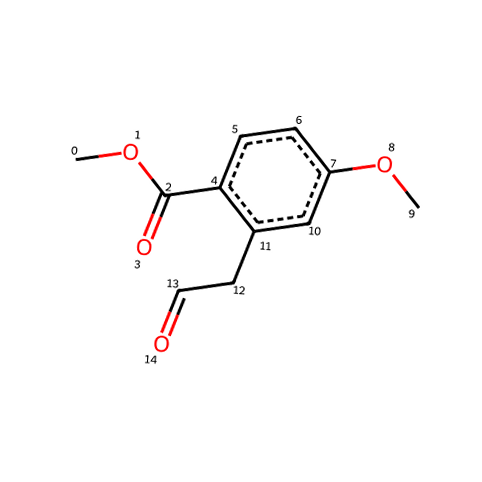 COC(=O)c1ccc(OC)cc1CC=O